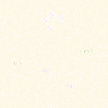 COc1ccc(-n2nnnc2C(F)(F)F)cc1CNC1CCCNC1c1ccccc1.Cl.Cl